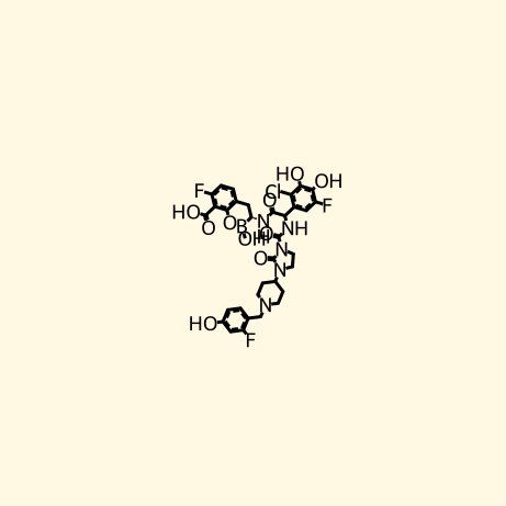 O=C(O)c1c(F)ccc2c1OB(O)[C@@H](NC(=O)C(NC(=O)N1CCN(C3CCN(Cc4ccc(O)cc4F)CC3)C1=O)c1cc(F)c(O)c(O)c1Cl)C2